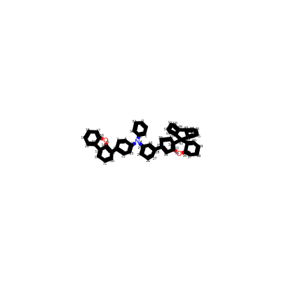 c1ccc(N(c2ccc(-c3cccc4c3oc3ccccc34)cc2)c2cccc(-c3ccc4c(c3)Oc3ccccc3C43c4ccccc4-c4ccccc43)c2)cc1